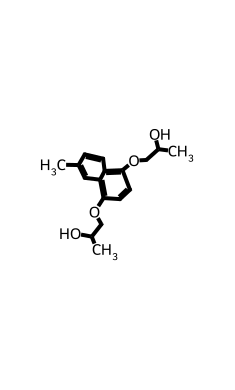 Cc1ccc2c(OCC(C)O)ccc(OCC(C)O)c2c1